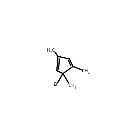 CC1=C[C](C)([Zr])C(C)=C1